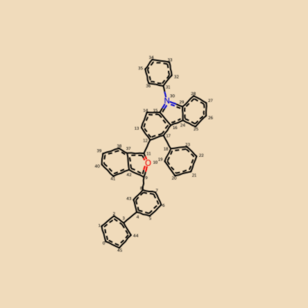 c1ccc(-c2cccc(-c3oc(-c4ccc5c(c4-c4ccccc4)c4ccccc4n5-c4ccccc4)c4ccccc34)c2)cc1